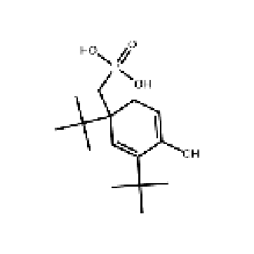 CC(C)(C)C1=CC(CP(=O)(O)O)(C(C)(C)C)CC=C1O